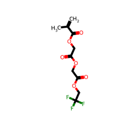 C=C(C)C(=O)OCC(=O)OCC(=O)OCC(F)(F)F